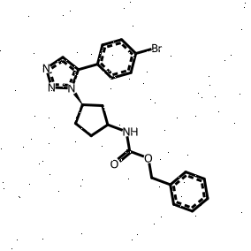 O=C(NC1CC[C@@H](n2nncc2-c2ccc(Br)cc2)C1)OCc1ccccc1